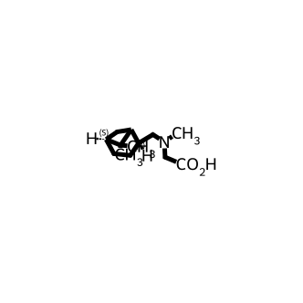 CN(CC(=O)O)C[C@@H]1CC[C@H]2CC1C2(C)C